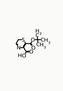 CC(C)(C)OC(=O)C1=C(C(=O)O)N=CCS1